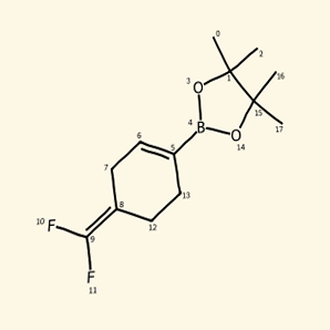 CC1(C)OB(C2=CCC(=C(F)F)CC2)OC1(C)C